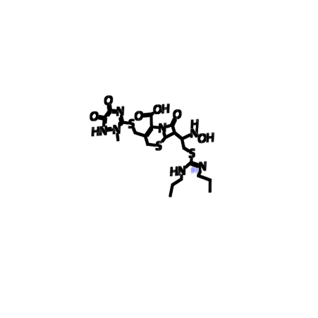 CCC/N=C(\NCCC)SCC(NO)C1C(=O)N2C(C(=O)O)=C(CSc3nc(=O)c(=O)[nH]n3C)CSC12